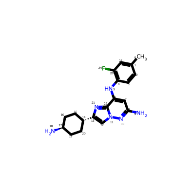 Cc1ccc(Nc2cc(N)nn3cc([C@H]4CC[C@H](N)CC4)nc23)c(F)c1